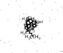 CC(C)CCC[C@@H](C)[C@H]1CC[C@@]2(C)[C@@H]3CC[C@H]4C(C)(C)CC=C(c5cc(N)ccc5C(=O)O)[C@@]45C[C@@]35CC[C@]12C